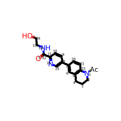 CC(=O)N1CCCc2cc(-c3ccc(C(=O)NCCO)nc3)ccc21